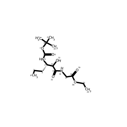 CCC[C@H](NC(=O)OC(C)(C)C)C(O)C(=O)NCC(=O)OCC